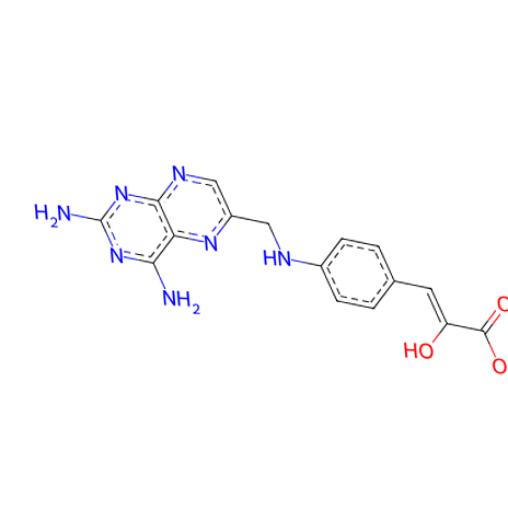 Nc1nc(N)c2nc(CNc3ccc(C=C(O)C(=O)O)cc3)cnc2n1